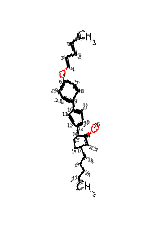 CCCCCOc1ccc(-c2ccc(C3CCC(CCCCC)CC3=O)cc2)cc1